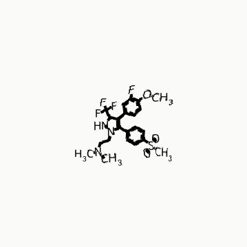 COc1ccc(C2=C(c3ccc(S(C)(=O)=O)cc3)N(CCN(C)C)NC2C(F)(F)F)cc1F